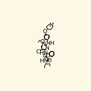 CCOc1cc(OC2CCN(C)CC2)ccc1Nc1ncc(Cl)c(Nc2ccccc2S(=O)(=O)NC(CC)CC)n1